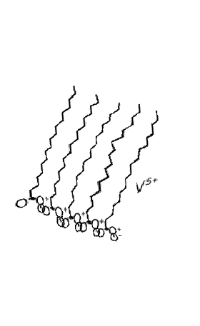 CCCCCCCCCCCCCCCCCC([O-])=[O+][O-].CCCCCCCCCCCCCCCCCC([O-])=[O+][O-].CCCCCCCCCCCCCCCCCC([O-])=[O+][O-].CCCCCCCCCCCCCCCCCC([O-])=[O+][O-].CCCCCCCCCCCCCCCCCC([O-])=[O+][O-].[V+5]